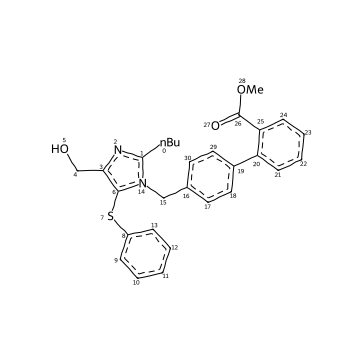 CCCCc1nc(CO)c(Sc2ccccc2)n1Cc1ccc(-c2ccccc2C(=O)OC)cc1